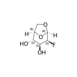 O[C@H]1[C@H](O)[C@H]2CO[C@H](O2)[C@H]1F